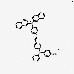 Cc1ccc(N(c2ccccc2)c2ccc(/C=C/c3ccc(N(c4ccc5ccccc5c4)c4ccc5ccccc5c4)cc3)cc2)cc1